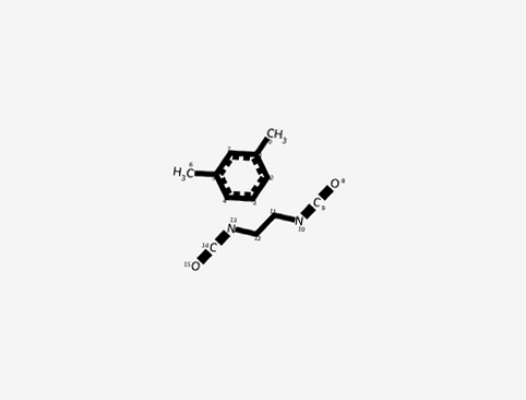 Cc1cccc(C)c1.O=C=NCCN=C=O